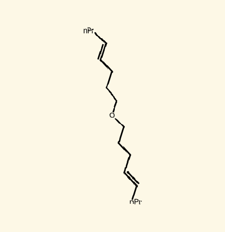 CCCC=CCCCOCCCC=CCCC